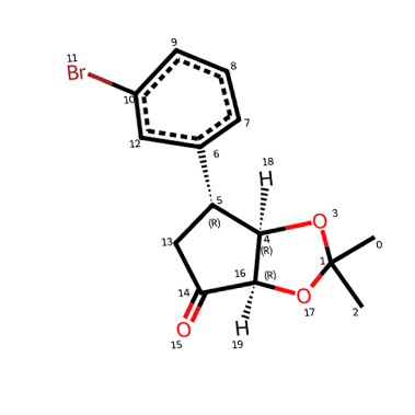 CC1(C)O[C@@H]2[C@@H](c3cccc(Br)c3)CC(=O)[C@@H]2O1